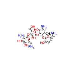 CC1CC(N)C(O)C(OC2OC(CO)C(OC3OC(CN)C(O)C(O)C3N)C2O)C1OC1OC(CN)CCC1O